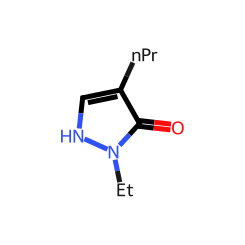 CCCc1c[nH]n(CC)c1=O